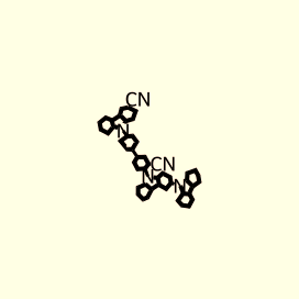 N#Cc1ccc2c(c1)c1ccccc1n2-c1ccc(-c2ccc(-n3c4ccccc4c4cc(-n5c6ccccc6c6ccccc65)ccc43)c(C#N)c2)cc1